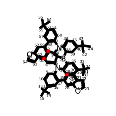 Cc1cc2c3c(c1)N(c1ccc(C(C)(C)C)cc1-c1ccc4ccoc4c1)c1ccc(C(C)(C)C)cc1B3C1CC(C(C)(C)C)=CC=C1N2c1ccc(C(C)(C)C)cc1-c1ccc2ccoc2c1